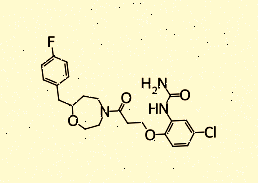 NC(=O)Nc1cc(Cl)ccc1OCCC(=O)N1CCOC(Cc2ccc(F)cc2)CC1